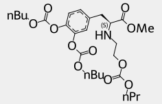 CCCCOC(=O)Oc1ccc(C[C@H](NCCOC(=O)OCCC)C(=O)OC)cc1OC(=O)OCCCC